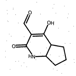 O=CC1=C(O)C2CCCC2NC1=O